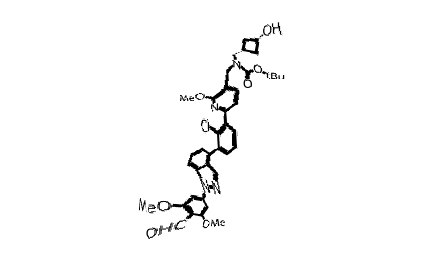 COc1cc(-n2ncc3c(-c4cccc(-c5ccc(CN(C[C@H]6C[C@@H](O)C6)C(=O)OC(C)(C)C)c(OC)n5)c4Cl)cccc32)cc(OC)c1C=O